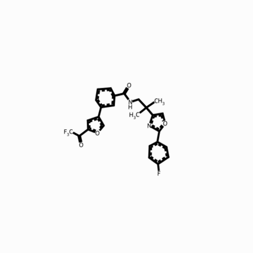 CC(C)(CNC(=O)c1cccc(-c2coc(C(=O)C(F)(F)F)c2)c1)c1coc(-c2ccc(F)cc2)n1